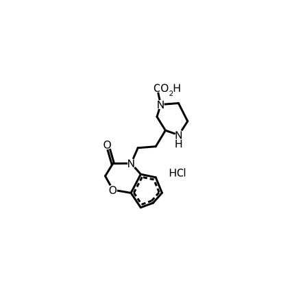 Cl.O=C(O)N1CCNC(CCN2C(=O)COc3ccccc32)C1